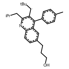 Cc1ccc(-c2c([CH]C(C)(C)C)c(CC(C)C)nc3ccc(CCCO)cc23)cc1